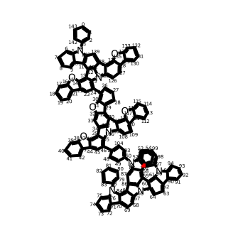 c1ccc(-n2c3ccccc3c3c4c5c6oc7ccccc7c6cc(-c6cccc7c6oc6cc8c9c%10oc%11ccccc%11c%10cc(-c%10ccc(-n%11c%12ccccc%12c%12c%13c%14c%15c(ccc%14n%14c%16ccc%17c%18ccccc%18n(-c%18ccccc%18)c%17c%16c(cc%12%11)c%13%14)c%11ccccc%11n%15-c%11ccccc%11)cc%10)c9n9c%10ccc%11c%12ccccc%12oc%11c%10c(c67)c89)c5n5c6ccc7c8ccccc8oc7c6c(cc32)c45)cc1